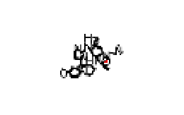 C=CC(=O)Nc1cc(Nc2nccc(-c3c4n(c5ccc(OC)cc35)CCCC4)n2)c(OC)cc1N(C)CCN(C)C